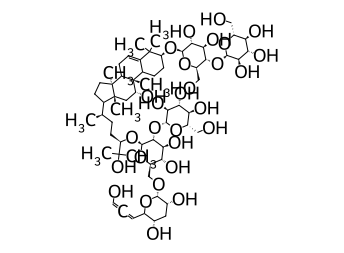 C[C@H](CC[C@@H](O[C@@H]1O[C@H](CO[C@H]2OC(C=C=CO)[C@@H](O)C[C@H]2O)[C@@H](O)[C@H](O)[C@H]1O[C@H]1O[C@@H](CO)[C@H](O)[C@@H](O)[C@@H]1O)C(C)(C)O)C1CC[C@@]2(C)C3CC=C4C(CC[C@H](O[C@@H]5O[C@H](CO)[C@@H](O[C@H]6O[C@H](CO)[C@@H](O)[C@H](O)[C@H]6O)[C@H](O)[C@H]5O)C4(C)C)[C@]3(C)[C@H](O)C[C@]12C